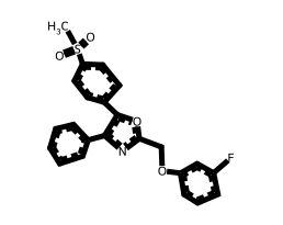 CS(=O)(=O)c1ccc(-c2oc(COc3cccc(F)c3)nc2-c2ccccc2)cc1